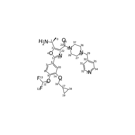 C[C@H](N)c1oc(-c2ccc(OC(F)F)c(OCC3CC3)c2)nc1C(=O)N1CCN(Cc2ccncc2)CC1